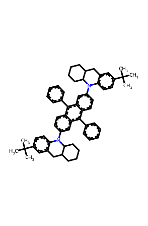 CC(C)(C)c1ccc2c(c1)CC1CCCCC1N2c1ccc2c(-c3ccccc3)c3cc(N4c5ccc(C(C)(C)C)cc5CC5CCCCC54)ccc3c(-c3ccccc3)c2c1